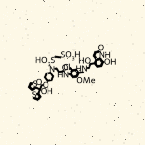 COc1cc(NC(=O)CCN(C)[C@H]2CC[C@H](OC(=O)C(O)(c3cccs3)c3cccs3)CC2)c(Cl)cc1CNC[C@H](O)c1ccc(O)c2[nH]c(=O)ccc12.O=S(=O)(O)CCS(=O)(=O)O